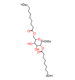 CCCCCCCCCCCCCCCCCC(=O)OCC1O[C@@H](OC)C(OC(=O)CCCCCCCCCCCCCCCCC)C(O)C1O